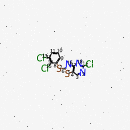 Clc1ncc2sc(Sc3cccc(Cl)c3Cl)nc2n1